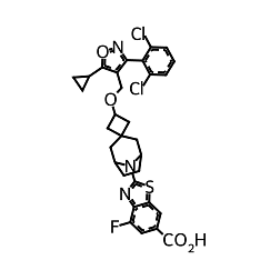 O=C(O)c1cc(F)c2nc(N3C4CCC3CC3(CC(OCc5c(-c6c(Cl)cccc6Cl)noc5C5CC5)C3)C4)sc2c1